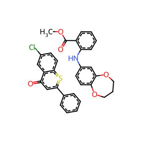 COC(=O)c1ccccc1Nc1ccc2c(c1)OCCCO2.O=c1cc(-c2ccccc2)sc2ccc(Cl)cc12